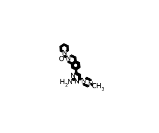 CN1CCN(c2cc(-c3ccc4c(c3)CN(C(=O)N3CCCCC3)CC4)nc(N)n2)CC1